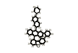 C1=CCC(c2ccc3cc(-c4c5ccccc5c(-c5cccc6oc7ccc(-c8ccccc8)cc7c56)c5ccccc45)ccc3c2)C=C1